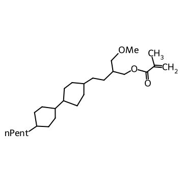 C=C(C)C(=O)OCC(CCC1CCC(C2CCC(CCCCC)CC2)CC1)COC